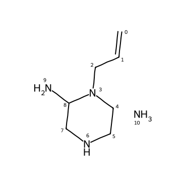 C=CCN1CCNCC1N.N